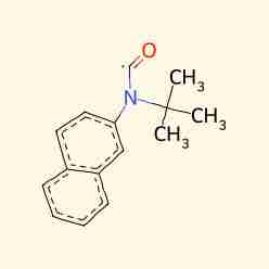 CC(C)(C)N([C]=O)c1ccc2ccccc2c1